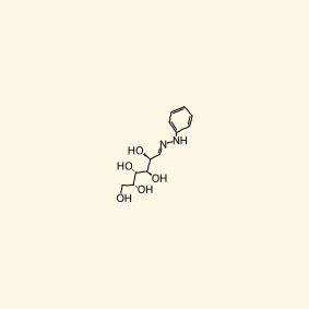 OC[C@@H](O)[C@H](O)[C@H](O)[C@@H](O)/C=N/Nc1ccccc1